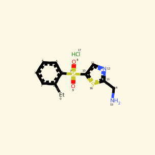 CCc1ccccc1S(=O)(=O)c1cnc(CN)s1.Cl